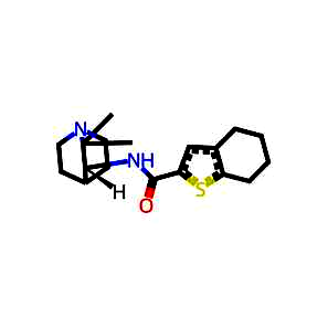 CC1(C)[C@H](NC(=O)c2cc3c(s2)CCCC3)C2CCN1CC2